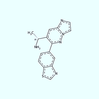 C[C@@H](N)c1cc2nccn2nc1-c1ccc2scnc2c1